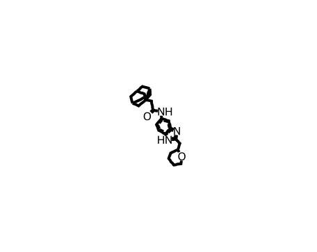 O=C(CC12CC3CC(CC(C3)C1)C2)Nc1ccc2[nH]c(CC3CCCCO3)nc2c1